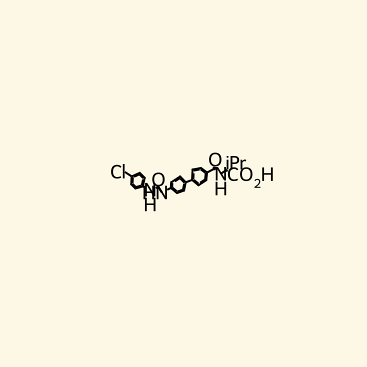 CC(C)[C@@H](NC(=O)c1ccc(-c2ccc(NC(=O)Nc3ccc(Cl)cc3)cc2)cc1)C(=O)O